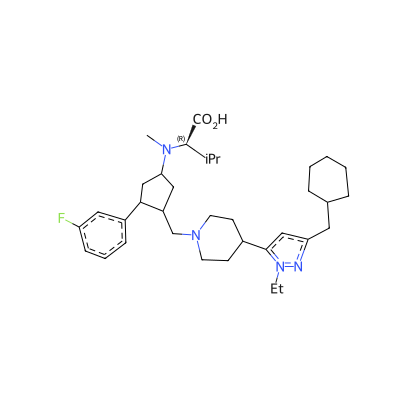 CCn1nc(CC2CCCCC2)cc1C1CCN(CC2CC(N(C)[C@@H](C(=O)O)C(C)C)CC2c2cccc(F)c2)CC1